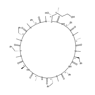 CC[C@H]1NC(=O)[C@@H]([C@H](O)[C@H](C)CCO)N(C)C(=O)[C@@H](C(C)C)N(C)C(=O)[C@@H](CC(C)C)N(C)C(=O)[C@@H](CC(C)C)N(C)C(=O)[C@H](C)NC(=O)[C@@H](C)NC(=O)[C@@H](CC(C)C)N(C)C(=O)[C@@H](C(C)C)NC(=O)[C@H](CC(C)C)N(C)C(=O)[C@@H](C)N(C)C1=O